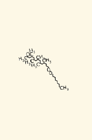 CCCCCCCCCOCOCCCC(C)CC(C)CC(C)CC(C)CC(C)CC(C)Cl